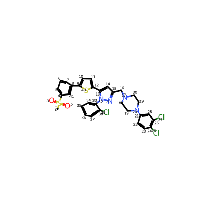 CS(=O)(=O)c1cccc(-c2ccc(-c3cc(CN4CCN(c5ccc(Cl)c(Cl)c5)CC4)nn3-c3ccccc3Cl)s2)c1